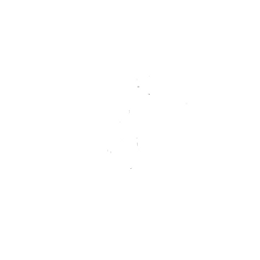 C=C1C2CC3(C1O)C1CC4C5(C)CCC(O)C4(C1N(CC)C5)C3CC2O